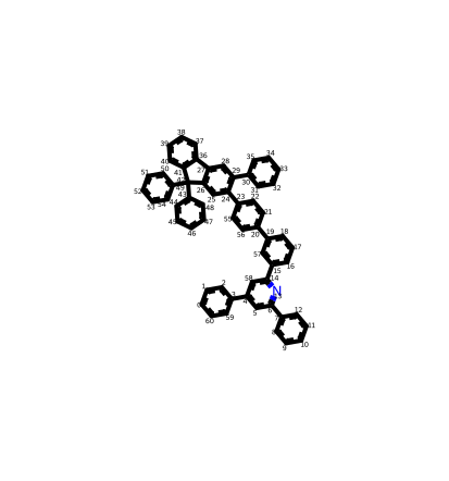 c1ccc(-c2cc(-c3ccccc3)nc(-c3cccc(-c4ccc(-c5cc6c(cc5-c5ccccc5)-c5ccccc5C6(c5ccccc5)c5ccccc5)cc4)c3)c2)cc1